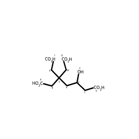 O=C(O)CC(O)CC(CC(=O)O)(CC(=O)O)CC(=O)O